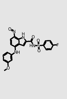 COc1cccc(Nc2ccc(N=O)c3[nH]c(C(=O)NS(=O)(=O)c4ccc(F)cc4)cc23)c1